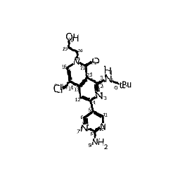 CC(C)(C)Nc1nc(-c2cnc(N)nc2)cc2c(Cl)cn(CCO)c(=O)c12